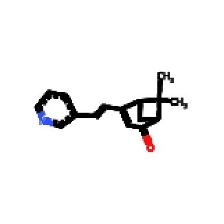 CC1(C)C2CC1C(/C=C/c1cccnc1)=CC2=O